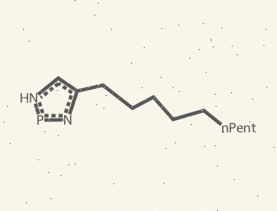 CCCCCCCCCCc1c[nH]pn1